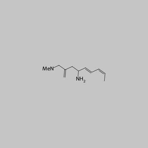 C=C(CNC)CC(N)C=C/C=C\C